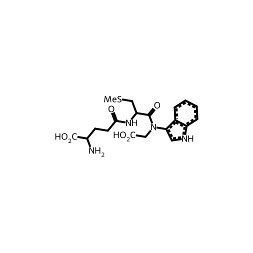 CSCC(NC(=O)CCC(N)C(=O)O)C(=O)N(CC(=O)O)c1c[nH]c2ccccc12